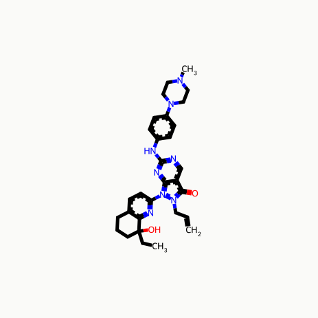 C=CCn1c(=O)c2cnc(Nc3ccc(N4CCN(C)CC4)cc3)nc2n1-c1ccc2c(n1)C(O)(CC)CCC2